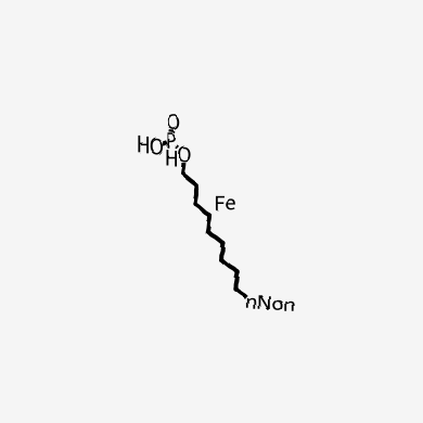 CCCCCCCCCCCCCCCCCCO[PH](=O)O.[Fe]